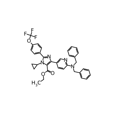 CCOC(=O)c1c(-c2ccc(N(Cc3ccccc3)Cc3ccccc3)nc2)nc(-c2ccc(OC(F)(F)F)cc2)n1C1CC1